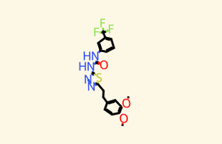 COc1ccc(CCc2nnc(NC(=O)Nc3cccc(C(F)(F)F)c3)s2)cc1OC